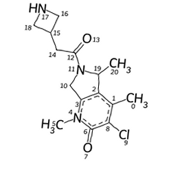 Cc1c2c(n(C)c(=O)c1Cl)CN(C(=O)CC1CNC1)C2C